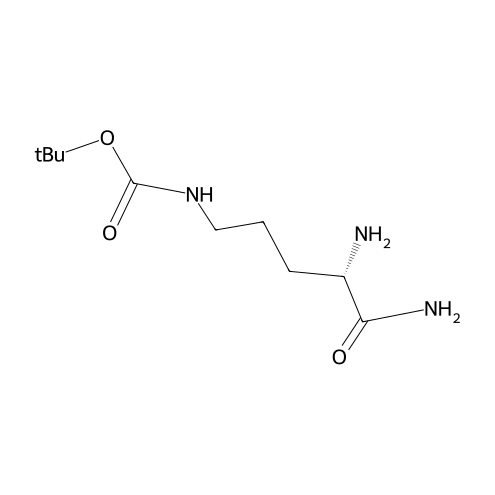 CC(C)(C)OC(=O)NCCC[C@H](N)C(N)=O